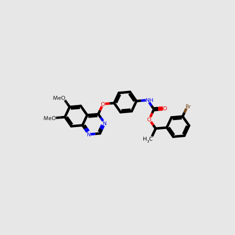 COc1cc2ncnc(Oc3ccc(NC(=O)OC(C)c4cccc(Br)c4)cc3)c2cc1OC